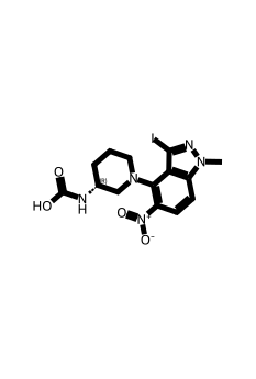 Cn1nc(I)c2c(N3CCC[C@@H](NC(=O)O)C3)c([N+](=O)[O-])ccc21